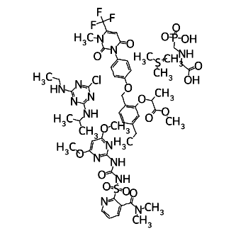 CCNc1nc(Cl)nc(NC(C)C)n1.CCc1ccc(COc2ccc(-n3c(=O)cc(C(F)(F)F)n(C)c3=O)cc2)c(OC(C)C(=O)OC)c1.COc1cc(OC)nc(NC(=O)NS(=O)(=O)c2ncccc2C(=O)N(C)C)n1.C[S+](C)C.O=C(O)CNCP(=O)([O-])O